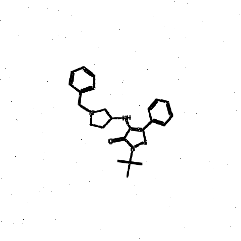 CC(C)(C)n1sc(-c2ccccc2)c(NC2CCN(Cc3ccccc3)C2)c1=O